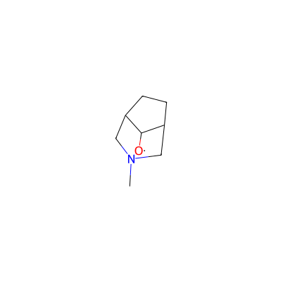 CN1CC2CCC(C1)C2[O]